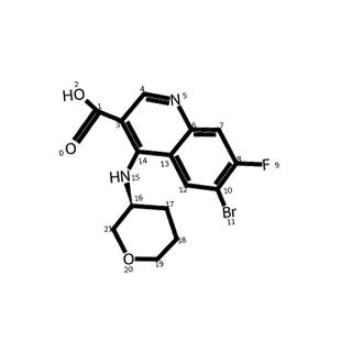 O=C(O)c1cnc2cc(F)c(Br)cc2c1N[C@H]1CCCOC1